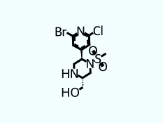 CS(=O)(=O)N1C[C@H](CO)NC[C@H]1c1cc(Cl)nc(Br)c1